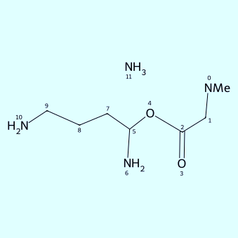 CNCC(=O)OC(N)CCCN.N